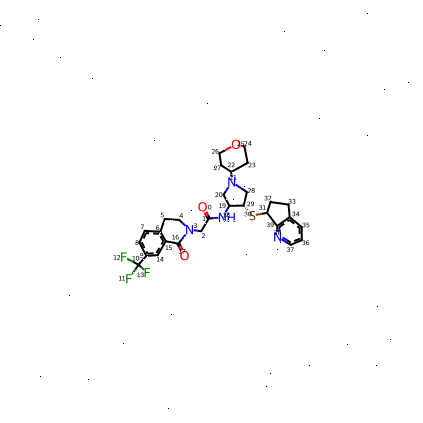 O=C(CN1CCc2ccc(C(F)(F)F)cc2C1=O)NC1CN(C2CCOCC2)C[C@@H]1SC1CCc2cccnc21